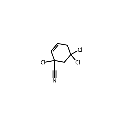 N#CC1(Cl)C=CCC(Cl)(Cl)C1